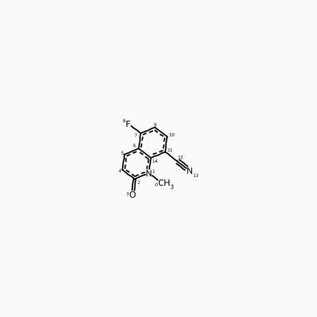 Cn1c(=O)ccc2c(F)ccc(C#N)c21